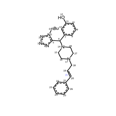 CCCCn1nnnc1C(c1cccc(O)c1)N1CCN(C/C=C/c2ccccc2)CC1